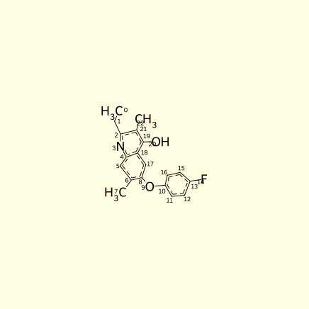 CCc1nc2cc(C)c(Oc3ccc(F)cc3)cc2c(O)c1C